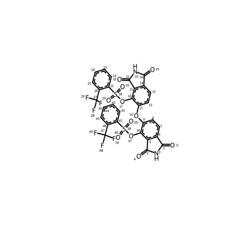 O=C1NC(=O)c2c1ccc(Oc1ccc3c(c1OS(=O)(=O)c1ccccc1C(F)(F)F)C(=O)NC3=O)c2OS(=O)(=O)c1ccccc1C(F)(F)F